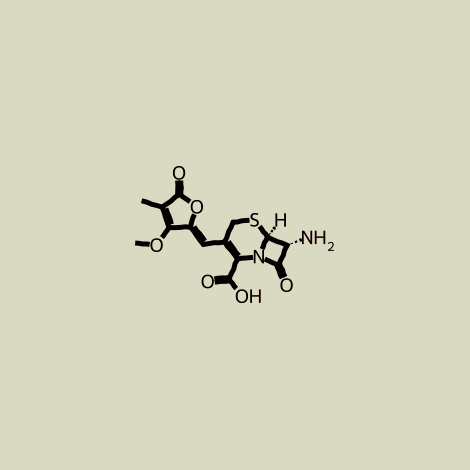 COC1=C(C)C(=O)O/C1=C\C1=C(C(=O)O)N2C(=O)[C@@H](N)[C@@H]2SC1